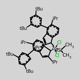 CC(C)C1=Cc2c(ccc(C(C)C)c2-c2cc(C(C)(C)C)cc(C(C)(C)C)c2)[CH]1[Zr]([Cl])([Cl])([CH]1C(C(C)C)=Cc2c1ccc(C(C)C)c2-c1cc(C(C)(C)C)cc(C(C)(C)C)c1)[SiH](C)C